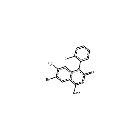 CNc1nc(=O)n(-c2ccccc2Cl)c2cc(C(F)(F)F)c(Br)cc12